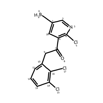 Bc1cnc(Cl)c(C(=O)Cc2cccc(Cl)c2Cl)c1